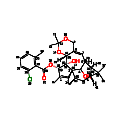 CC1=C[C@]23C(O)[C@@H](C=C4COC(C)(C)O[C@H]4[C@]2(O)[C@H]1OC(=O)c1c(C)cccc1Cl)[C@H]1[C@@H](C[C@H]3C)C1(C)C